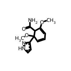 COC1=CC=CC(OC)(c2cc[nH]n2)C1C(N)=O